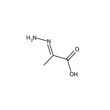 C/C(=N\N)C(=O)O